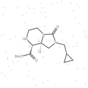 COC(=O)[C@H]1NCCN2C(=O)N(CC3CC3)C[C@@H]12